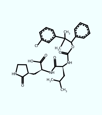 CC(C)C[C@H](NC(=O)OC(c1ccccc1)C(C)(C)c1cccc(Cl)c1)C(=O)N[C@@H](C[C@@H]1CCNC1=O)C(=O)O